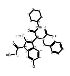 CCCC(=O)N(Cc1ccccc1)C(C(=O)NC1CCCCC1)c1c(C(=O)OCC)n(C(=O)OC(C)(C)C)c2cc(Cl)ccc12